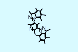 Cc1nc(C)c(-n2nc(C)c3c(C)c(C)c(C)c(C)c32)c(C)c1-n1nc(C)c2c(C)c(C)c(C)c(C)c21